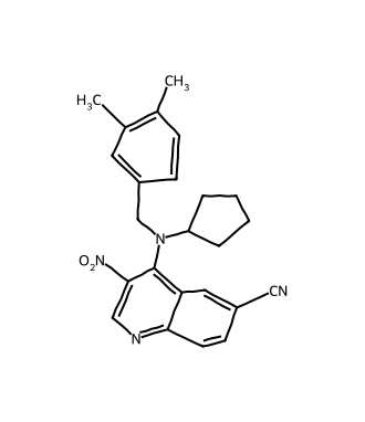 Cc1ccc(CN(c2c([N+](=O)[O-])cnc3ccc(C#N)cc23)C2CCCC2)cc1C